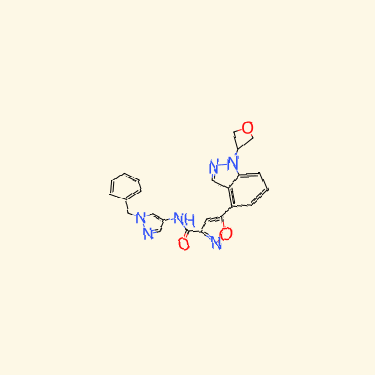 O=C(Nc1cnn(Cc2ccccc2)c1)c1cc(-c2cccc3c2cnn3C2COC2)on1